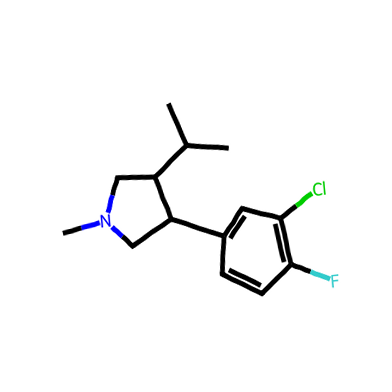 CC(C)C1CN(C)CC1c1ccc(F)c(Cl)c1